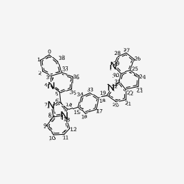 c1ccc2nc(-c3nc4ccccn4c3-c3ccc(-c4ccc5ccc6cccnc6c5n4)cc3)ccc2c1